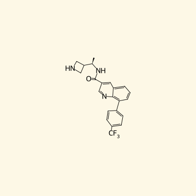 C[C@@H](NC(=O)c1cnc2c(-c3ccc(C(F)(F)F)cc3)cccc2c1)C1CNC1